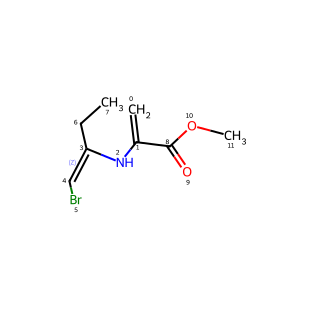 C=C(N/C(=C\Br)CC)C(=O)OC